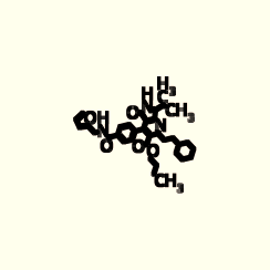 CCCCOC(=O)c1c(CCC2CCCCC2)nc2c(c1-c1ccc(C(=O)NCc3ccco3)cc1)C(=O)NC2C(C)C